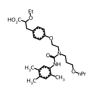 CCCOCCCN(CCOc1ccc(CC(OCC)C(=O)O)cc1)C(=O)Nc1cc(C)c(C)cc1C